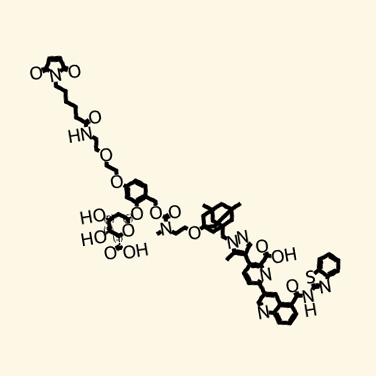 Cc1c(-c2ccc(-c3cnc4cccc(C(=O)Nc5nc6ccccc6s5)c4c3)nc2C(=O)O)cnn1CC12CC3(C)CC(C)(C1)CC(OCCN(C)C(=O)OCc1ccc(OCCOCCNC(=O)CCCCCN4C(=O)C=CC4=O)cc1O[C@H]1C[C@@H](O)[C@H](O)[C@@H](C(=O)O)O1)(C3)C2